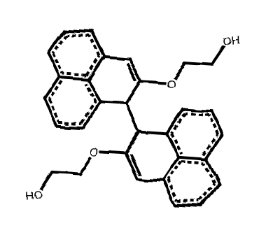 OCCOC1=Cc2cccc3cccc(c23)C1C1C(OCCO)=Cc2cccc3cccc1c23